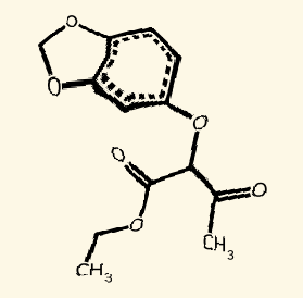 CCOC(=O)C(Oc1ccc2c(c1)OCO2)C(C)=O